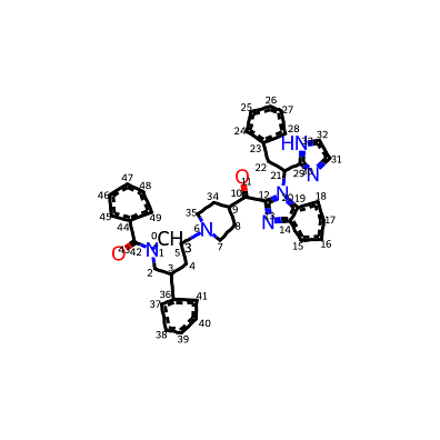 CN(CC(CCN1CCC(C(=O)c2nc3ccccc3n2C(Cc2ccccc2)c2ncc[nH]2)CC1)c1ccccc1)C(=O)c1ccccc1